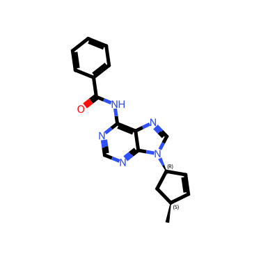 C[C@@H]1C=C[C@H](n2cnc3c(NC(=O)c4ccccc4)ncnc32)C1